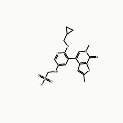 CCS(=O)(=O)CNc1cnc(OCC2CC2)c(-c2cn(C)c(=O)c3sc(C)cc23)c1